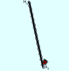 CCCOC(COCCOCCOCCOCCOCCOCCOCCOCCOCCOCCOCCOCCOCCOCCOCCOCCOCCOCCOCCOCCOCCOCCOC)COC(C(F)(F)F)(C(F)(F)F)C(F)(F)F